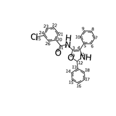 O=C(NC1=C(c2ccccc2)NC(c2ccccc2)O1)c1cccc(Cl)c1